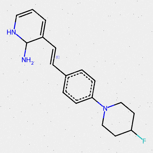 NC1NC=CC=C1/C=C/c1ccc(N2CCC(F)CC2)cc1